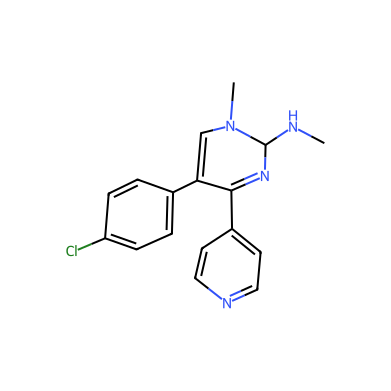 CNC1N=C(c2ccncc2)C(c2ccc(Cl)cc2)=CN1C